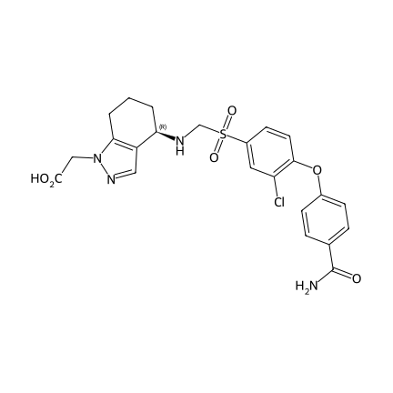 NC(=O)c1ccc(Oc2ccc(S(=O)(=O)CN[C@@H]3CCCc4c3cnn4CC(=O)O)cc2Cl)cc1